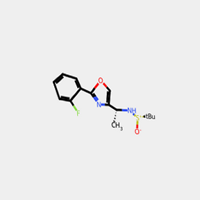 C[C@@H](N[S@+]([O-])C(C)(C)C)c1coc(-c2ccccc2F)n1